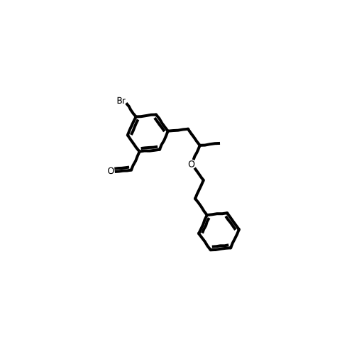 CC(Cc1cc(Br)cc(C=O)c1)OCCc1ccccc1